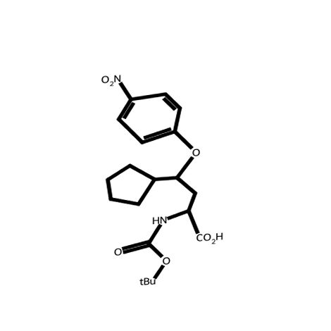 CC(C)(C)OC(=O)NC(CC(Oc1ccc([N+](=O)[O-])cc1)C1CCCC1)C(=O)O